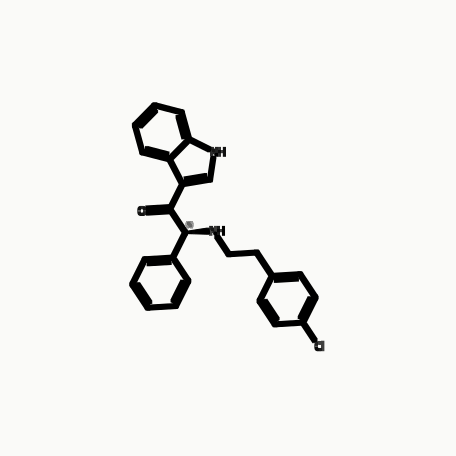 O=C(c1c[nH]c2ccccc12)[C@@H](NCCc1ccc(Cl)cc1)c1ccccc1